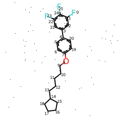 Fc1cc(-c2ccc(OCCCCCC3CCCC3)cc2)cc(F)c1F